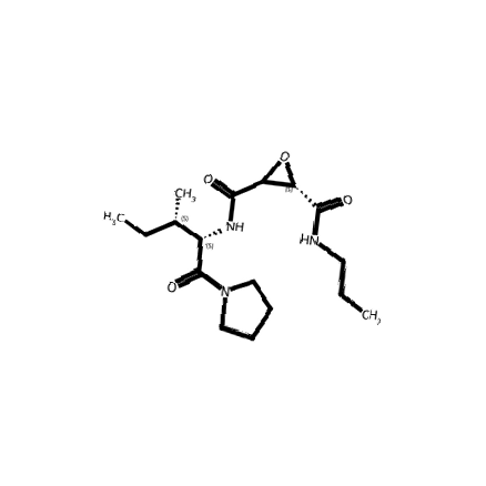 CCCNC(=O)[C@H]1OC1C(=O)N[C@H](C(=O)N1CCCC1)[C@@H](C)CC